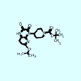 CC(C)Oc1ccc2[nH]c(=O)c(=O)n(C3CCN(C(=O)OC(C)(C)C)CC3)c2n1